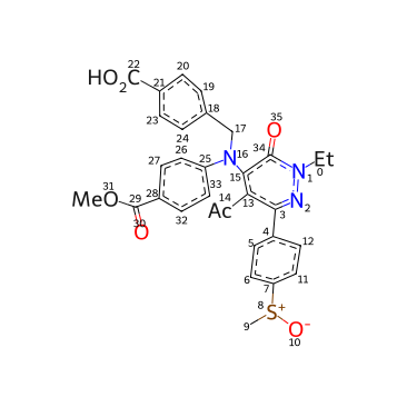 CCn1nc(-c2ccc([S+](C)[O-])cc2)c(C(C)=O)c(N(Cc2ccc(C(=O)O)cc2)c2ccc(C(=O)OC)cc2)c1=O